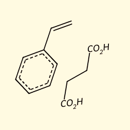 C=Cc1ccccc1.O=C(O)CCC(=O)O